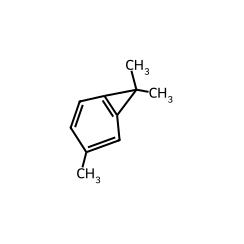 Cc1ccc2c(c1)C2(C)C